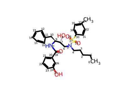 CCCCCN(C[C@@H](O)[C@H](Cc1ccccc1)NC(=O)c1cccc(O)c1)S(=O)(=O)c1ccc(C)cc1